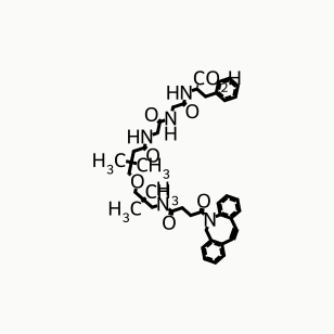 CC(C)(CNC(=O)CCC(=O)N1Cc2ccccc2C#Cc2ccccc21)COCC(C)(C)CC(=O)NCC(=O)NCC(=O)N[C@@H](Cc1ccccc1)C(=O)O